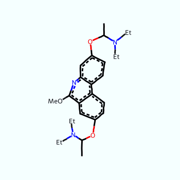 CCN(CC)C(C)Oc1ccc2c(c1)nc(OC)c1cc(OC(C)N(CC)CC)ccc12